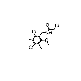 COc1c(C)c(Cl)c(C)c(Cl)c1CNC(=O)CCl